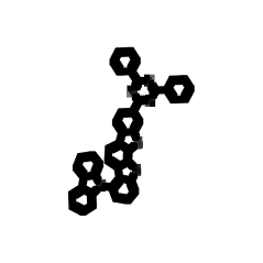 c1ccc(-c2nc(-c3ccccc3)nc(-c3ccc4c(c3)sc3c4ccc4c3sc3cccc(-n5c6ccccc6c6ccccc65)c34)n2)cc1